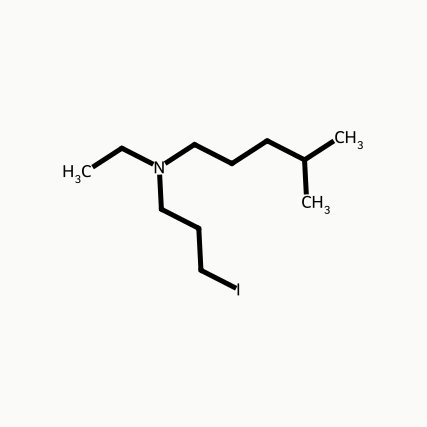 CCN(CCCI)CCCC(C)C